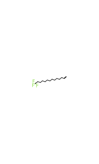 C=CCCCCCCCCCCCC(F)(F)F